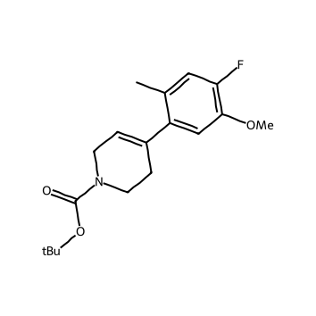 COc1cc(C2=CCN(C(=O)OC(C)(C)C)CC2)c(C)cc1F